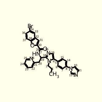 CCCn1c(-c2ccc(-n3ccnc3)cc2)cnc1C(Cc1ccccn1)NC(=O)c1cc2cc(Br)ccc2o1